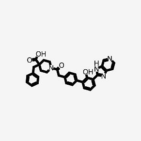 O=C(Cc1ccc(-c2cccc(-c3nc4ccncc4[nH]3)c2O)cc1)N1CCC(Cc2ccccc2)(C(=O)O)CC1